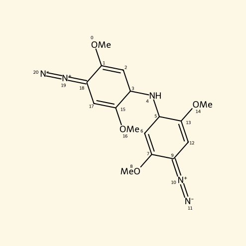 COC1=CC(NC2C=C(OC)C(=[N+]=[N-])C=C2OC)C(OC)=CC1=[N+]=[N-]